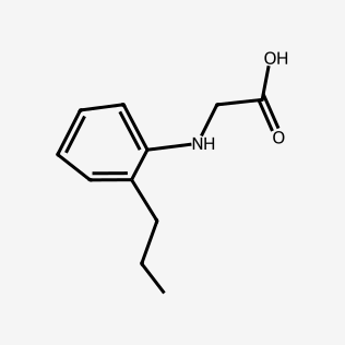 CCCc1ccccc1NCC(=O)O